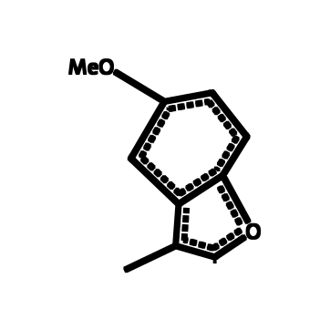 COc1ccc2o[c]c(C)c2c1